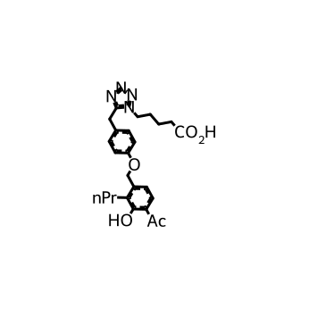 CCCc1c(COc2ccc(Cc3nnnn3CCCCC(=O)O)cc2)ccc(C(C)=O)c1O